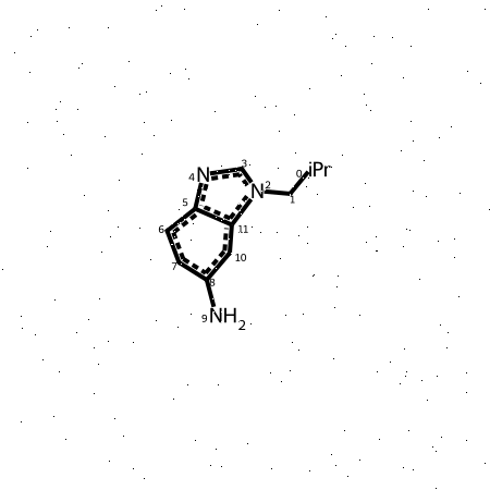 CC(C)Cn1cnc2ccc(N)cc21